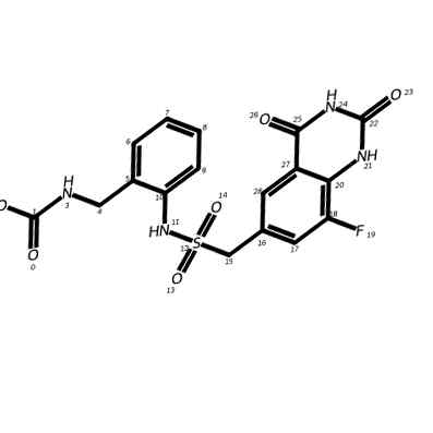 O=C(O)NCc1ccccc1NS(=O)(=O)Cc1cc(F)c2[nH]c(=O)[nH]c(=O)c2c1